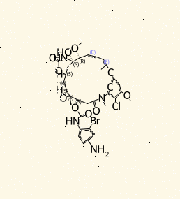 COc1cc2cc(c1Cl)N(C)C(=O)C[C@H](OC(=O)Nc1ccc(N)cc1Br)[C@]1(C)O[C@H]1[C@H](C)[C@@H]1C[C@@](O)(NC(=O)O1)[C@H](OC)/C=C/C=C(\C)C2